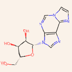 OC[C@H]1O[C@@H](n2cnc3c2ncn2ccnc32)[C@H](O)[C@@H]1O